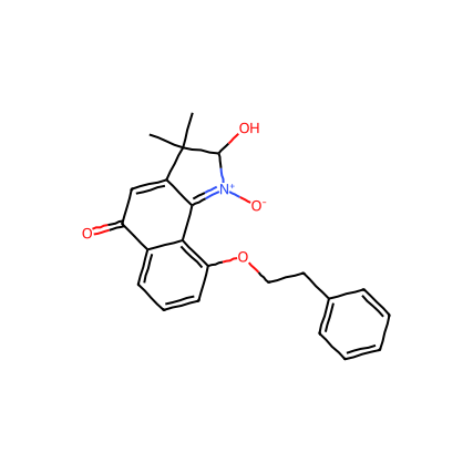 CC1(C)C2=CC(=O)c3cccc(OCCc4ccccc4)c3C2=[N+]([O-])C1O